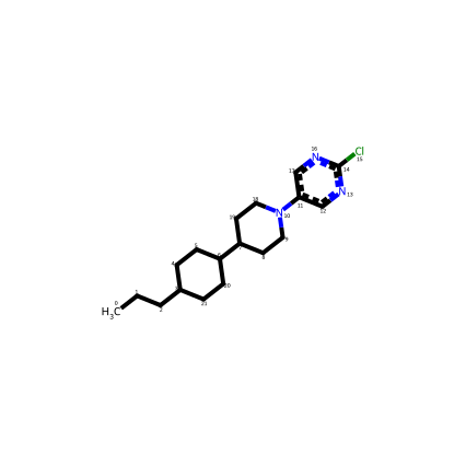 CCCC1CCC(C2CCN(c3cnc(Cl)nc3)CC2)CC1